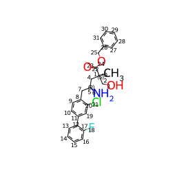 C[C@@](CO)(C[C@@H](N)Cc1ccc(-c2ccccc2F)cc1Cl)C(=O)OCc1ccccc1